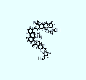 COc1cc(/C=C/c2cccc(-c3cccc(NC(=O)c4ccc(CN5CC[C@@H](O)C5)cn4)c3C)c2C)c(C(F)(F)F)cc1CN1CC[C@H](C(=O)O)C1